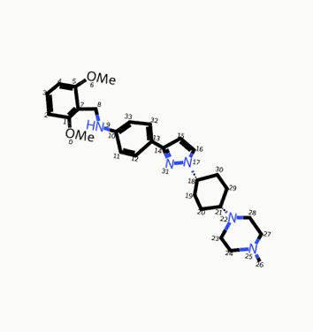 COc1cccc(OC)c1CNc1ccc(-c2ccn([C@H]3CC[C@@H](N4CCN(C)CC4)CC3)n2)cc1